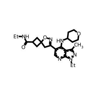 CCNC(=O)C1CC2(CC(c3cnc4c(c(C)nn4CC)c3NC3CCOCC3)=NO2)C1